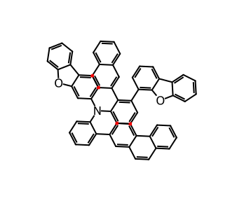 c1ccc(N(c2ccc3c(c2)oc2ccccc23)c2cccc(-c3cccc4c3oc3ccccc34)c2-c2ccc3ccccc3c2)c(-c2ccc3c(ccc4ccccc43)c2)c1